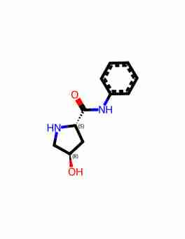 O=C(Nc1ccccc1)[C@@H]1C[C@@H](O)CN1